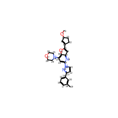 COC1C=C(c2cc3nc(-n4ccc(-c5cccc(C)c5)n4)cc(N4CCOCC4)c3o2)CC1